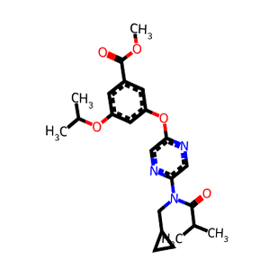 COC(=O)c1cc(Oc2cnc(N(CC3CC3)C(=O)C(C)C)cn2)cc(OC(C)C)c1